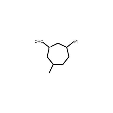 CC1CCC(C(C)C)CN(C=O)C1